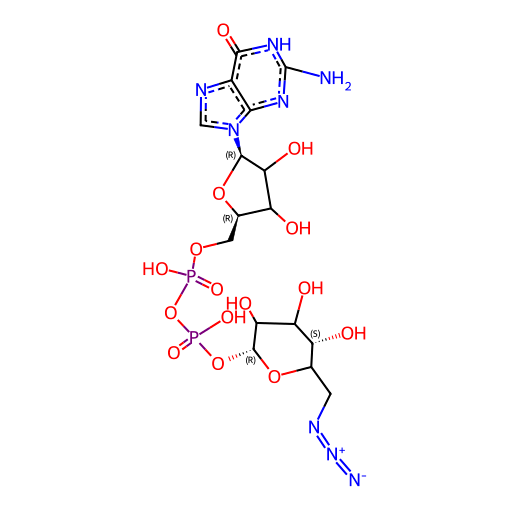 [N-]=[N+]=NCC1O[C@H](OP(=O)(O)OP(=O)(O)OC[C@H]2O[C@@H](n3cnc4c(=O)[nH]c(N)nc43)C(O)C2O)C(O)C(O)[C@@H]1O